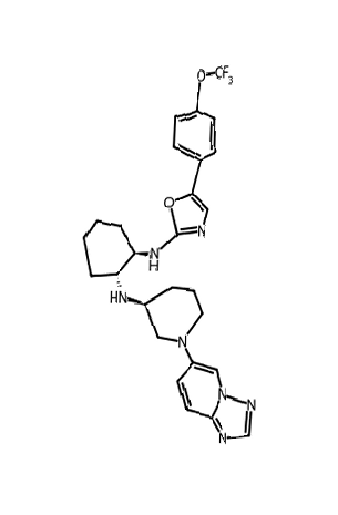 FC(F)(F)Oc1ccc(-c2cnc(N[C@@H]3CCCC[C@H]3N[C@H]3CCCN(c4ccc5ncnn5c4)C3)o2)cc1